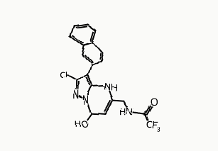 O=C(NCC1=CC(O)n2nc(Cl)c(-c3ccc4ccccc4c3)c2N1)C(F)(F)F